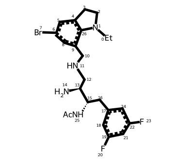 CCN1CCc2cc(Br)cc(CNC[C@H](N)[C@H](Cc3cc(F)cc(F)c3)NC(C)=O)c21